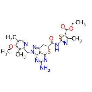 CCOC(=O)c1sc(NC(=O)C2Cc3nn(Cc4ncc(C)c(OC)c4C)c4nc(N)nc(c34)S2)nc1C